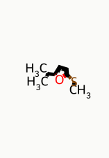 CSc1ccc(C(C)C)o1